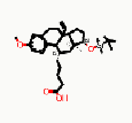 C=CC12CCc3cc(OC)ccc3C1[C@@H](CCCCC(=O)O)C[C@@]1(C)C2CC[C@@H]1O[Si](C)(C)C(C)(C)C